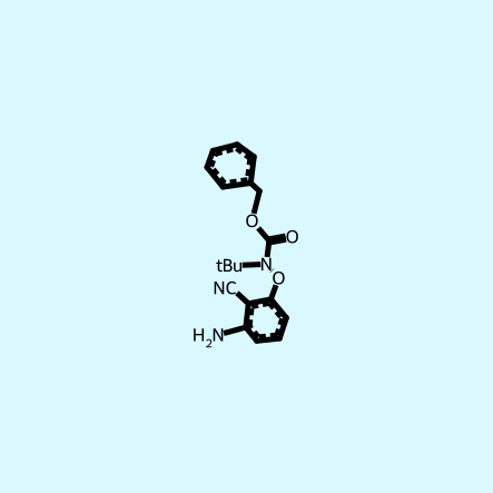 CC(C)(C)N(Oc1cccc(N)c1C#N)C(=O)OCc1ccccc1